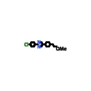 COCCCC1CCC(c2cnc(-c3ccc(Cl)cc3)nc2)CC1